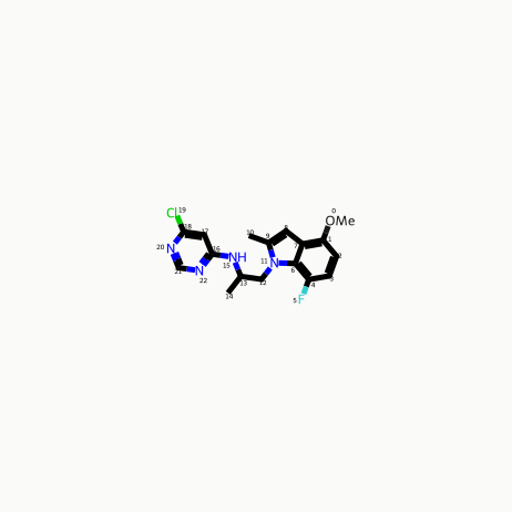 COc1ccc(F)c2c1cc(C)n2CC(C)Nc1cc(Cl)ncn1